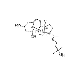 CC(SCCC(C)(C)O)[C@H]1CC[C@H]2C3=CC=C4CC(O)CC(O)[C@]4(C)[C@H]3CC[C@]12C